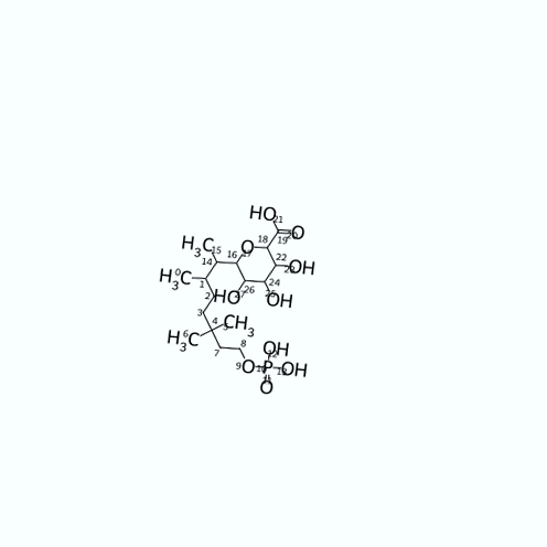 CC(CCC(C)(C)CCOP(=O)(O)O)C(C)C1OC(C(=O)O)C(O)C(O)C1O